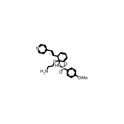 COc1ccc(S(=O)(=O)NC2(OCCN)C=CC=CC2/C=C/c2ccncc2)cc1